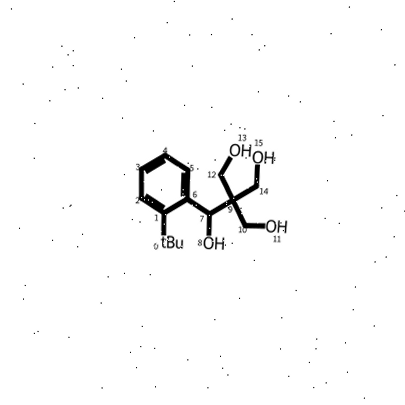 CC(C)(C)c1ccccc1C(O)C(CO)(CO)CO